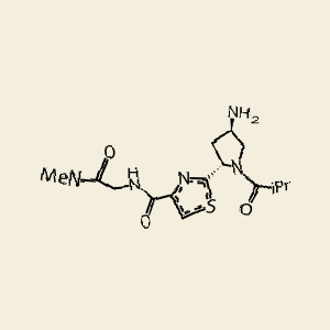 CNC(=O)CNC(=O)c1csc([C@@H]2C[C@@H](N)CN2C(=O)C(C)C)n1